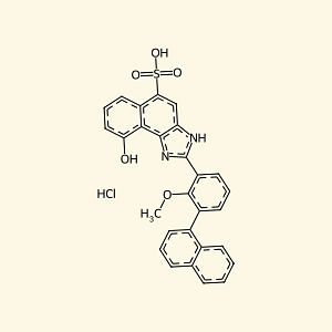 COc1c(-c2nc3c(cc(S(=O)(=O)O)c4cccc(O)c43)[nH]2)cccc1-c1cccc2ccccc12.Cl